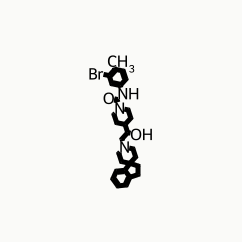 Cc1ccc(NC(=O)N2CCC(C(O)CN3CCC4(CCc5ccccc54)CC3)CC2)cc1Br